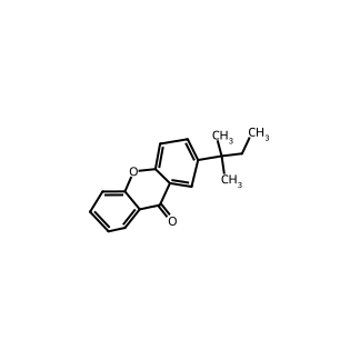 CCC(C)(C)c1ccc2oc3ccccc3c(=O)c2c1